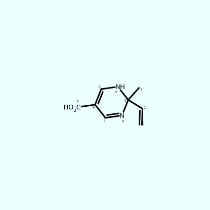 C=CC1(C)N=CC(C(=O)O)=CN1